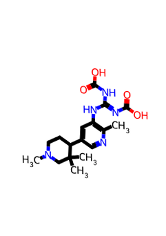 Cc1ncc(C2CCN(C)CC2(C)C)cc1NC(=NC(=O)O)NC(=O)O